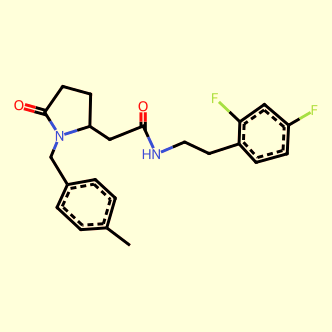 Cc1ccc(CN2C(=O)CCC2CC(=O)NCCc2ccc(F)cc2F)cc1